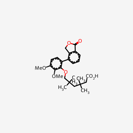 COc1ccc(-c2cccc3c2COC3=O)c(OCC(C)(C)CC(C)(C)CC(=O)O)c1OC